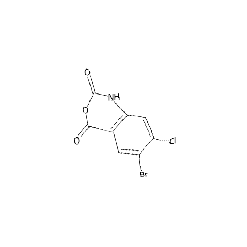 O=c1[nH]c2cc(Cl)c(Br)cc2c(=O)o1